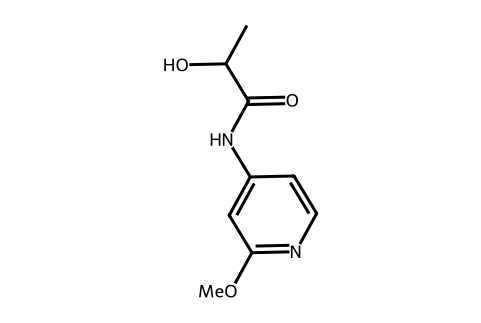 COc1cc(NC(=O)C(C)O)ccn1